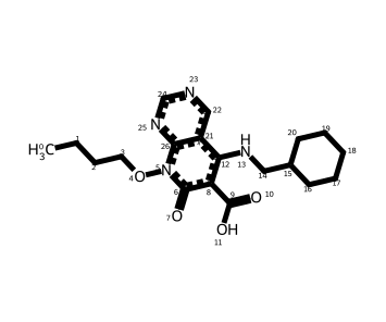 CCCCOn1c(=O)c(C(=O)O)c(NCC2CCCCC2)c2cncnc21